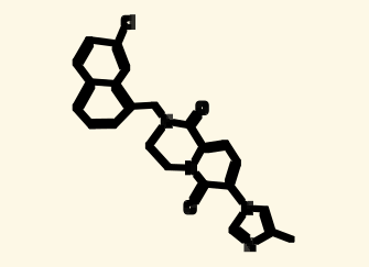 Cc1cn(-c2ccc3n(c2=O)CCN(Cc2cccc4ccc(Cl)cc24)C3=O)cn1